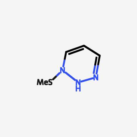 [CH2]SN1C=CC=NN1